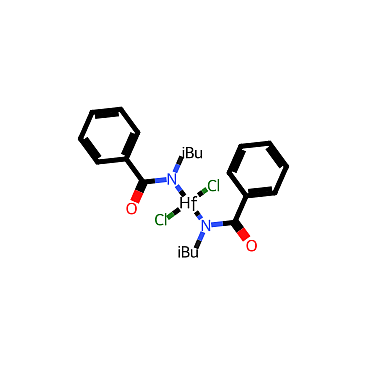 CCC(C)[N](C(=O)c1ccccc1)[Hf]([Cl])([Cl])[N](C(=O)c1ccccc1)C(C)CC